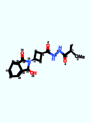 CO[C@H](C)C(=O)NNC(=O)[C@H]1C[C@H](N2C(=O)c3ccccc3C2O)C1